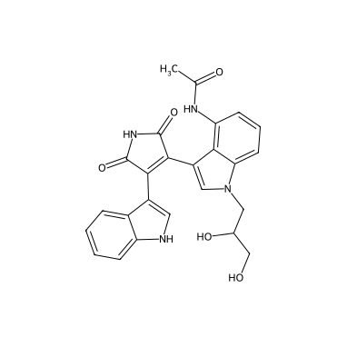 CC(=O)Nc1cccc2c1c(C1=C(c3c[nH]c4ccccc34)C(=O)NC1=O)cn2CC(O)CO